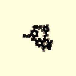 COc1cc(C(=O)O)ccc1Nc1ncc2c(n1)N(CCc1cccs1)CC(F)(F)C(=O)C2C